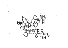 [2H]C(=O)[C@@H]1CCCN1N[C@H](C(=O)NC(Cc1ccccc1)C(=O)N[C@@H](CCCNC(=N)N)C(=O)NC(Cc1c[nH]c2ccccc12)C(=O)N[C@@H](CS)C(N)=O)C(C)C